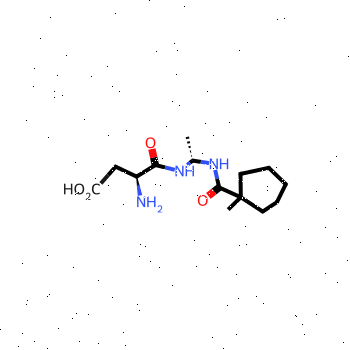 C[C@@H](NC(=O)[C@@H](N)CC(=O)O)NC(=O)C1(C)CCCCC1